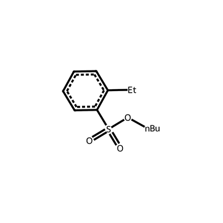 CCCCOS(=O)(=O)c1ccccc1CC